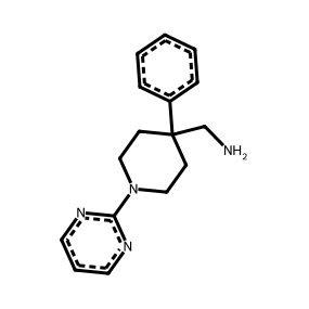 NCC1(c2ccccc2)CCN(c2ncccn2)CC1